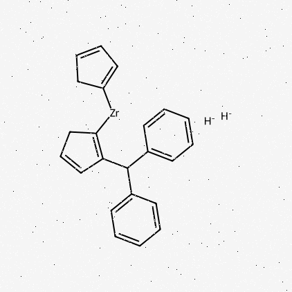 C1=CC[C]([Zr][C]2=C(C(c3ccccc3)c3ccccc3)C=CC2)=C1.[H-].[H-]